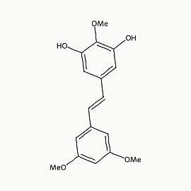 COc1cc(C=Cc2cc(O)c(OC)c(O)c2)cc(OC)c1